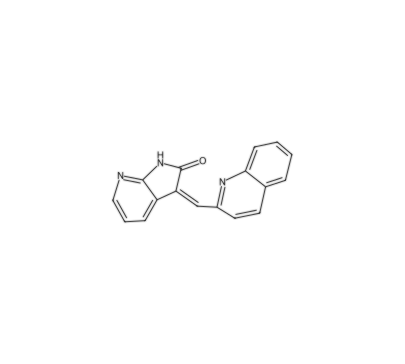 O=C1Nc2ncccc2C1=Cc1ccc2ccccc2n1